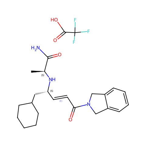 C[C@H](N[C@H](/C=C/C(=O)N1Cc2ccccc2C1)CC1CCCCC1)C(N)=O.O=C(O)C(F)(F)F